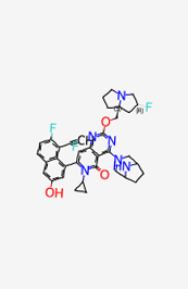 C#Cc1c(F)ccc2cc(O)cc(-c3c(F)c4nc(OC[C@@]56CCCN5C[C@H](F)C6)nc(N5CC6CCC(C5)N6)c4c(=O)n3C3CC3)c12